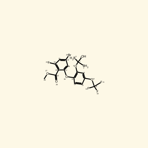 BC(B)(O)Oc1cc(OC(F)(F)F)ccc1Oc1cc(Br)cc(F)c1C(=O)OC